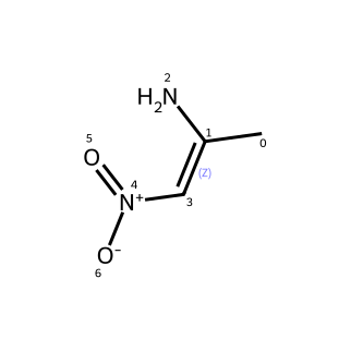 C/C(N)=C/[N+](=O)[O-]